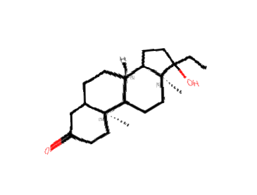 CCC1(O)CCC2[C@H]3CCC4CC(=O)CC[C@]4(C)C3CC[C@@]21C